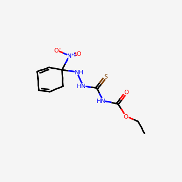 CCOC(=O)NC(=S)NNC1([N+](=O)[O-])C=CC=CC1